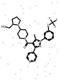 Cc1c(C(=O)N2CCC(N3CCCC3CO)CC2)c(-c2ccncc2)nn1-c1cccc(OC(F)(F)F)c1